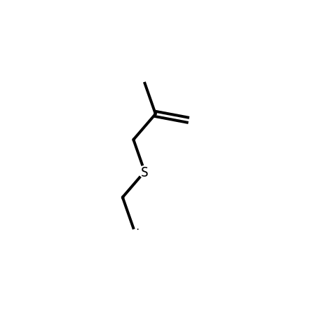 [CH2]CSCC(=C)C